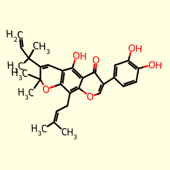 C=CC(C)(C)C1=Cc2c(c(CC=C(C)C)c3occ(-c4ccc(O)c(O)c4)c(=O)c3c2O)OC1(C)C